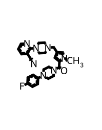 Cn1cc(CN2CCN(c3ncccc3C#N)CC2)cc1C(=O)N1CCN(c2ccc(F)cc2)CC1